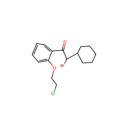 O=C(c1ccccc1OCCCl)C(Br)C1CCCCC1